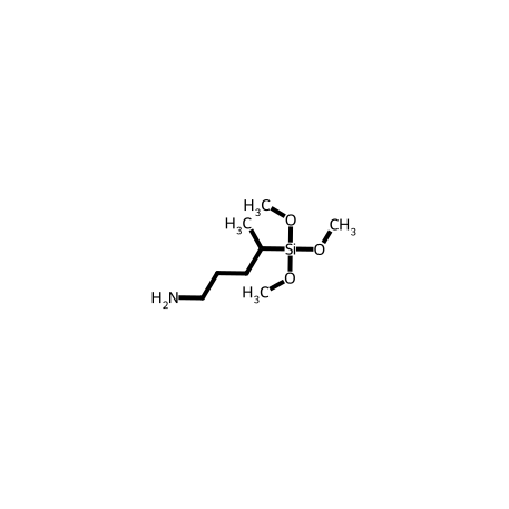 CO[Si](OC)(OC)C(C)CCCN